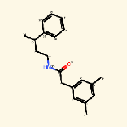 Cc1cc(C)cc(CC(=O)NCCC(C)c2ccccc2)c1